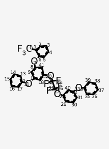 FC(F)(F)c1ccccc1Oc1cc(Oc2ccccc2)cc(OC(F)(F)C(F)(F)Oc2cccc(Oc3ccccc3)c2)c1